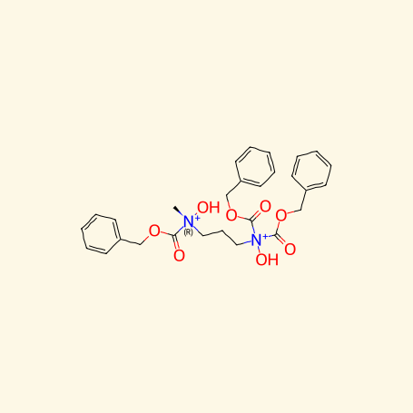 C[N@@+](O)(CCC[N+](O)(C(=O)OCc1ccccc1)C(=O)OCc1ccccc1)C(=O)OCc1ccccc1